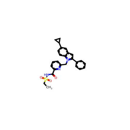 CCS(=O)(=O)NC(=O)c1cccc(Cn2c(-c3ccccc3)cc3cc(C4CC4)ccc32)n1